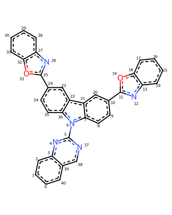 c1ccc2nc(-n3c4ccc(-c5nc6ccccc6o5)cc4c4cc(-c5nc6ccccc6o5)ccc43)ncc2c1